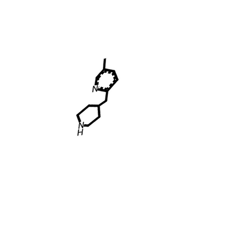 Cc1ccc(CC2CCNCC2)nc1